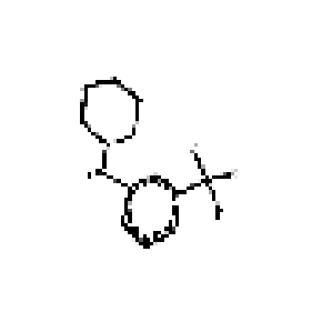 FC(F)(F)c1cccc(NC2CCCCC2)c1